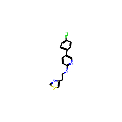 Clc1ccc(-c2ccc(NCCc3cs[c]n3)nc2)cc1